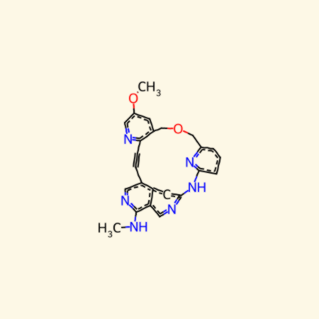 CNc1ncc2c3cc(ncc13)Nc1cccc(n1)COCc1cc(OC)cnc1C#C2